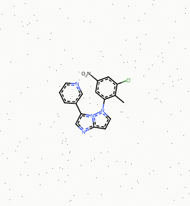 Cc1c(Cl)cc([N+](=O)[O-])cc1-n1ccc2ncc(-c3cccnc3)n21